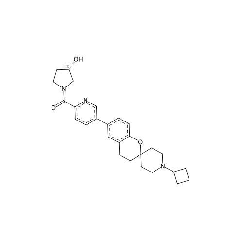 O=C(c1ccc(-c2ccc3c(c2)CCC2(CCN(C4CCC4)CC2)O3)cn1)N1CC[C@H](O)C1